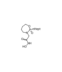 CCCCCCCP1(=O)OCCCCN1CC(=O)NO